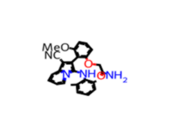 COc1cccc(OCC(N)=O)c1-c1c(C#N)c2ccccn2c1Nc1c(C)cccc1C